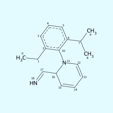 CCc1cccc(C(C)C)c1N1C=CC=CC1C=N